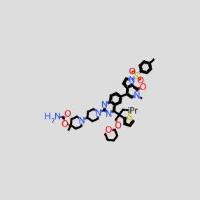 Cc1ccc(S(=O)(=O)n2ccc3c(-c4ccc5nc(N6CCC(N7CCC(C)(OC(N)=O)CC7)CC6)nc(C(COC6CCCCO6)(CC(C)C)c6cccs6)c5c4)cn(C)c(=O)c32)cc1